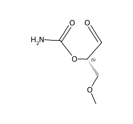 COC[C@@H](C=O)OC(N)=O